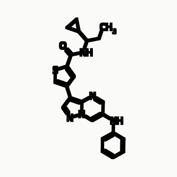 CCC(NC(=O)c1cc(-c2cnn3cc(Nc4ccccc4)cnc23)cs1)C1CC1